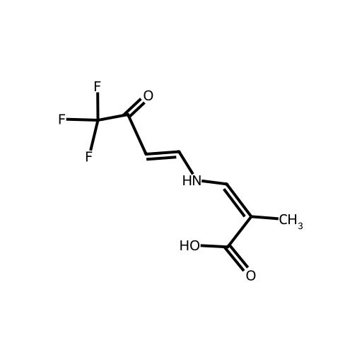 CC(=CNC=CC(=O)C(F)(F)F)C(=O)O